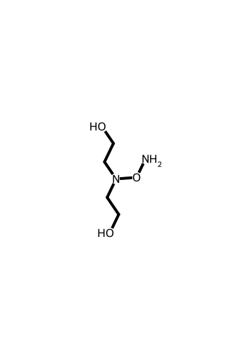 NON(CCO)CCO